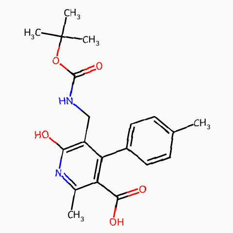 Cc1ccc(-c2c(CNC(=O)OC(C)(C)C)c(O)nc(C)c2C(=O)O)cc1